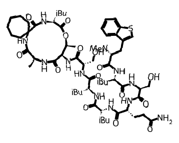 CC[C@H](C)[C@H](NC(=O)[C@@H](Cc1csc2ccccc12)NC)C(=O)N[C@@H](CO)C(=O)N[C@H](CCC(N)=O)C(=O)N[C@@H](C(=O)N[C@H](C(=O)N[C@@H](CO)C(=O)N[C@H]1C(=O)N[C@@H](C)C(=O)NC2(CCCCCC2)C(=O)N[C@@H]([C@@H](C)CC)C(=O)O[C@H]1C)[C@@H](C)CC)[C@@H](C)CC